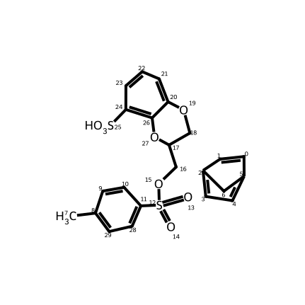 C1=CC2=CC=C1C2.Cc1ccc(S(=O)(=O)OCC2COc3cccc(S(=O)(=O)O)c3O2)cc1